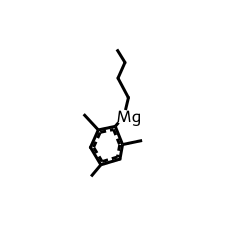 CCC[CH2][Mg][c]1c(C)cc(C)cc1C